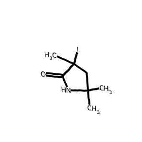 CC1(C)CC(C)(I)C(=O)N1